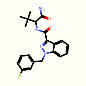 CC(C)(C)C(NC(=O)c1nn(Cc2cccc(F)c2)c2ccccc12)C(N)=O